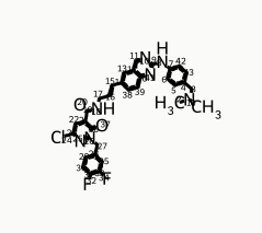 CN(C)Cc1ccc(Nc2ncc3cc(/C=C/CNC(=O)c4cc(Cl)nn(Cc5ccc(F)c(F)c5)c4=O)ccc3n2)cc1